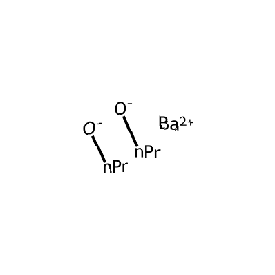 CCC[O-].CCC[O-].[Ba+2]